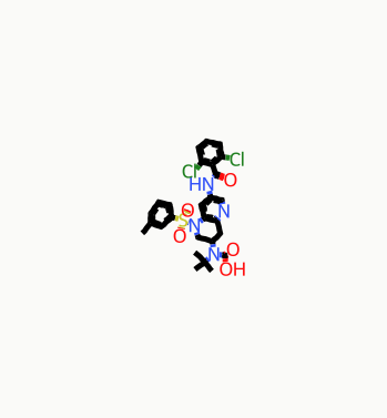 Cc1cccc(S(=O)(=O)N2CC(N(C(=O)O)C(C)(C)C)Cc3ncc(NC(=O)c4c(Cl)cccc4Cl)cc32)c1